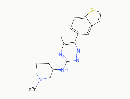 CCCN1CCC[C@@H](Nc2nnc(-c3ccc4sccc4c3)c(C)n2)C1